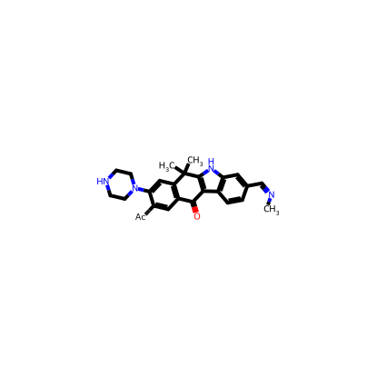 C/N=C\c1ccc2c3c([nH]c2c1)C(C)(C)c1cc(N2CCNCC2)c(C(C)=O)cc1C3=O